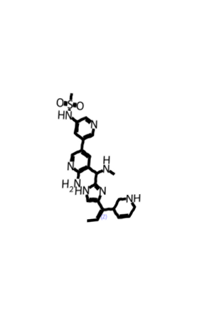 C/C=C(\c1c[nH]c(C(NC)c2cc(-c3cncc(NS(C)(=O)=O)c3)cnc2N)n1)C1C=CCNC1